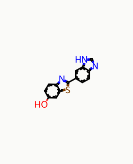 Oc1ccc2nc(-c3ccc4nc[nH]c4c3)sc2c1